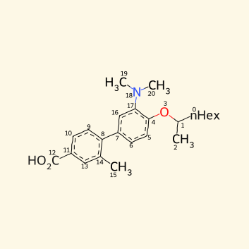 CCCCCCC(C)Oc1ccc(-c2ccc(C(=O)O)cc2C)cc1N(C)C